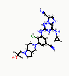 CC(C)(O)CN1CCC2CN(c3cc(C#N)cc(Nc4nc(NC5CC5)c5ncc(C#N)n5n4)c3Cl)CCC21